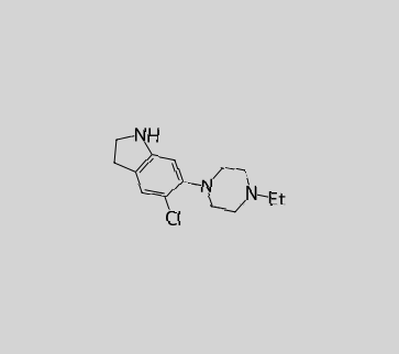 CCN1CCN(c2cc3c(cc2Cl)CCN3)CC1